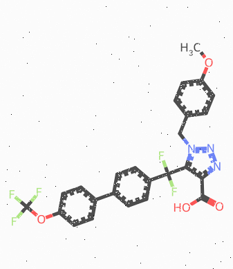 COc1ccc(Cn2nnc(C(=O)O)c2C(F)(F)c2ccc(-c3ccc(OC(F)(F)F)cc3)cc2)cc1